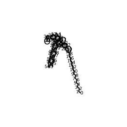 CCCCCCCCCCCCCCCCCCCCOc1ccc(S(=O)(=O)c2cnc3ccc([S@+](C)[O-])cc3c2N2CCC(N3CCC(N4CCN(CC)CC4)CC3)CC2)cc1